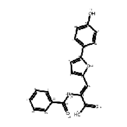 O=C(O)C(=Cc1ccc(-c2ccc(O)cc2)o1)NC(=O)c1ccccc1